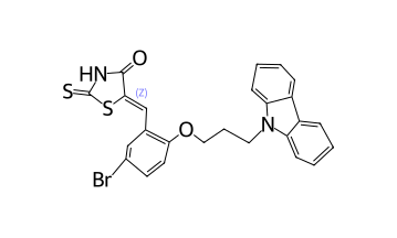 O=C1NC(=S)S/C1=C\c1cc(Br)ccc1OCCCn1c2ccccc2c2ccccc21